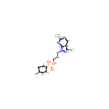 Cc1ccc(S(=O)(=O)OCCCn2nc(Cl)c3cnc(Cl)nc32)cc1